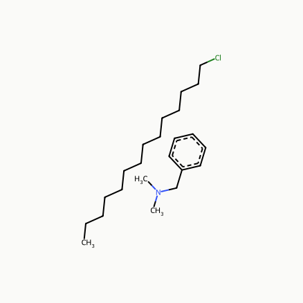 CCCCCCCCCCCCCCCl.CN(C)Cc1ccccc1